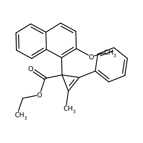 CCOC(=O)C1(c2c(OC)ccc3ccccc23)C(C)=C1c1ccccc1